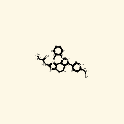 CCNC(=O)Nc1nc2c(s1)-c1c(c(-c3ccc(NCC)nc3)nn1-c1ccccc1C)CC2